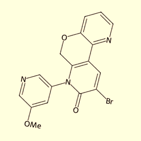 COc1cncc(-n2c3c(cc(Br)c2=O)-c2ncccc2OC3)c1